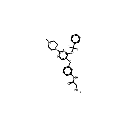 CN1CCN(c2ncc(Sc3cccc(NC(=O)CN)c3)c(OC(F)(F)c3ccccc3)n2)CC1